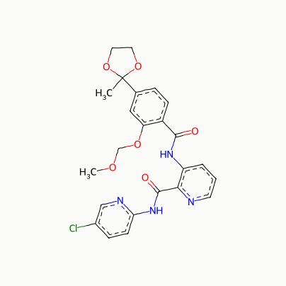 COCOc1cc(C2(C)OCCO2)ccc1C(=O)Nc1cccnc1C(=O)Nc1ccc(Cl)cn1